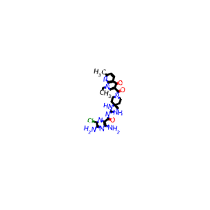 CCn1cc(C(=O)N2CCC3(CC2)CN/C(=N\C(=O)c2nc(Cl)c(N)nc2N)N3)c(=O)c2ccc(C)nc21